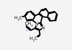 C=Cc1nc2c3c4ccccc4ccc3c3ccc(C)cc3n2c1/C=C\C